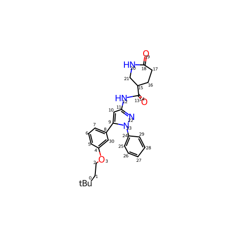 CC(C)(C)CCOc1cccc(-c2cc(NC(=O)C3CCC(=O)NC3)nn2-c2ccccc2)c1